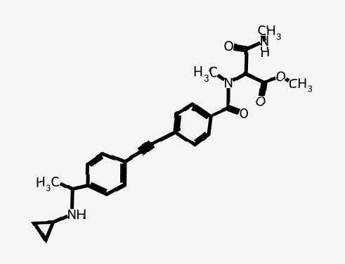 CNC(=O)C(C(=O)OC)N(C)C(=O)c1ccc(C#Cc2ccc(C(C)NC3CC3)cc2)cc1